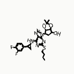 CCCCSc1nc(NC2CC2c2ccc(F)c(F)c2)c2nnn(C3CC(O)C4OC(C)(C)OC43)c2n1